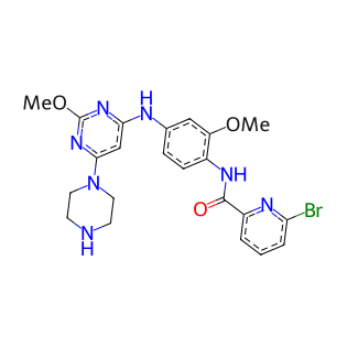 COc1nc(Nc2ccc(NC(=O)c3cccc(Br)n3)c(OC)c2)cc(N2CCNCC2)n1